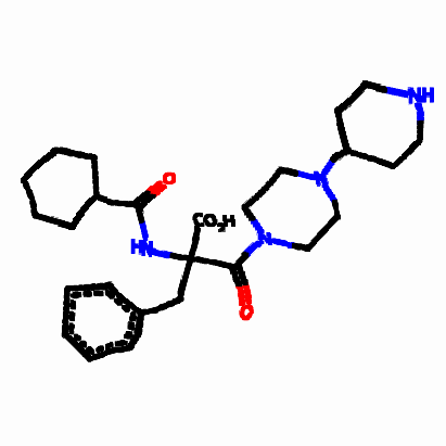 O=C(NC(Cc1ccccc1)(C(=O)O)C(=O)N1CCN(C2CCNCC2)CC1)C1CCCCC1